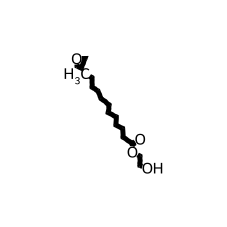 C1COC1.CCCCCCCCCCCC(=O)OCCO